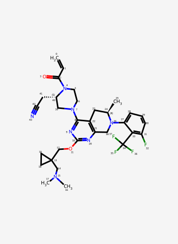 C=CC(=O)N1CCN(c2nc(OCC3(CN(C)C)CC3)nc3c2C[C@@H](C)N(c2cccc(F)c2C(F)(F)F)C3)C[C@@H]1CC#N